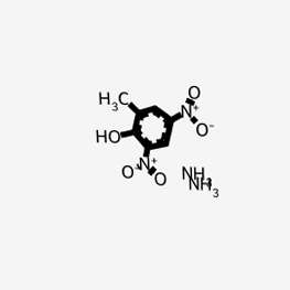 Cc1cc([N+](=O)[O-])cc([N+](=O)[O-])c1O.N.N